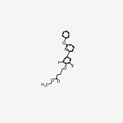 CCOC(=O)CCCOc1c(F)cc(-c2cccc(Oc3ccccc3)n2)cc1F